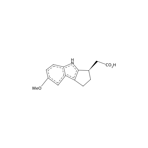 COc1ccc2[nH]c3c(c2c1)CC[C@@H]3CC(=O)O